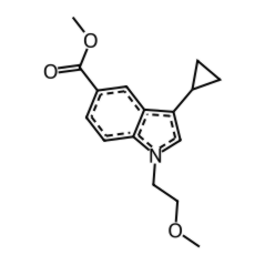 COCCn1cc(C2CC2)c2cc(C(=O)OC)ccc21